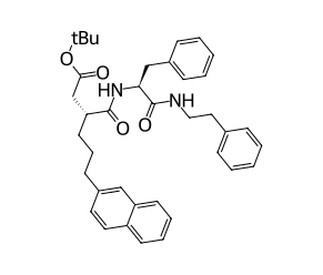 CC(C)(C)OC(=O)C[C@@H](CCCc1ccc2ccccc2c1)C(=O)N[C@@H](Cc1ccccc1)C(=O)NCCc1ccccc1